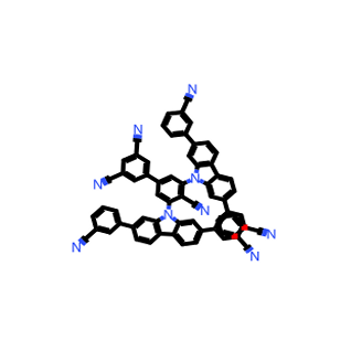 N#Cc1cccc(-c2ccc3c4ccc(-c5cccc(C#N)c5)cc4n(-c4cc(-c5cc(C#N)cc(C#N)c5)cc(-n5c6cc(-c7cccc(C#N)c7)ccc6c6ccc(-c7cccc(C#N)c7)cc65)c4C#N)c3c2)c1